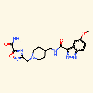 COc1ccc2[nH]nc(C(=O)NCC3CCN(Cc4noc(C(N)=O)n4)CC3)c2c1